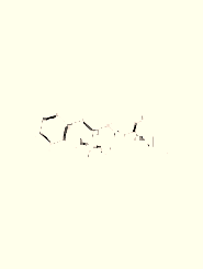 CS(=O)(=O)C(=Cc1ccccc1)COC(N)=O